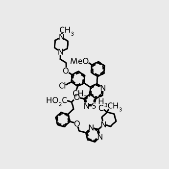 COc1cccc(-c2ncc3snc(OC(Cc4ccccc4OCc4ccnc(N5CCCC(C)(C)C5)n4)C(=O)O)c3c2-c2ccc(OCCN3CCN(C)CC3)c(Cl)c2C)c1